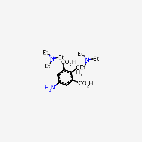 CCN(CC)CC.CCN(CC)CC.Cc1c(C(=O)O)cc(N)cc1C(=O)O